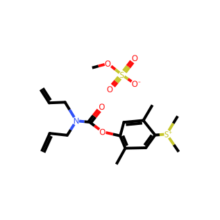 C=CCN(CC=C)C(=O)Oc1cc(C)c([S+](C)C)cc1C.COS(=O)(=O)[O-]